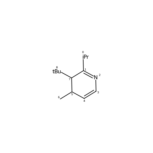 CC(C)C1=NC=CC(C)C1C(C)(C)C